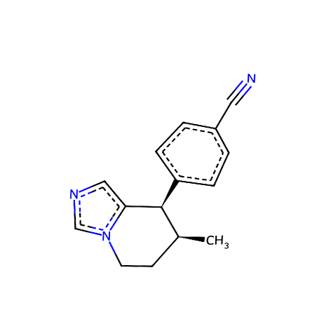 C[C@H]1CCn2cncc2[C@H]1c1ccc(C#N)cc1